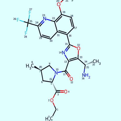 CCOC(=O)[C@@H]1C[C@@H](C)CN1C(=O)c1nc(-c2ccc(OC)c3nc(C(F)(F)F)ccc23)oc1[C@H](C)N